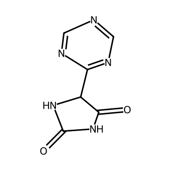 O=C1NC(=O)C(c2ncncn2)N1